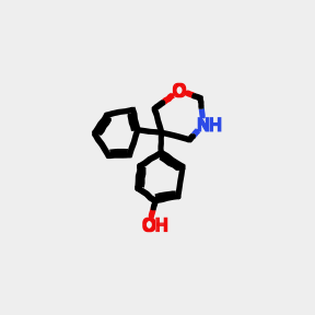 Oc1ccc(C2(c3ccccc3)CNCOC2)cc1